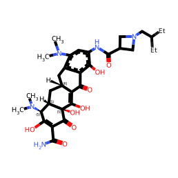 CCC(CC)CN1CC(C(=O)Nc2cc(N(C)C)c3c(c2O)C(=O)C2=C(O)[C@]4(O)C(=O)C(C(N)=O)=C(O)[C@@H](N(C)C)[C@@H]4C[C@@H]2C3)C1